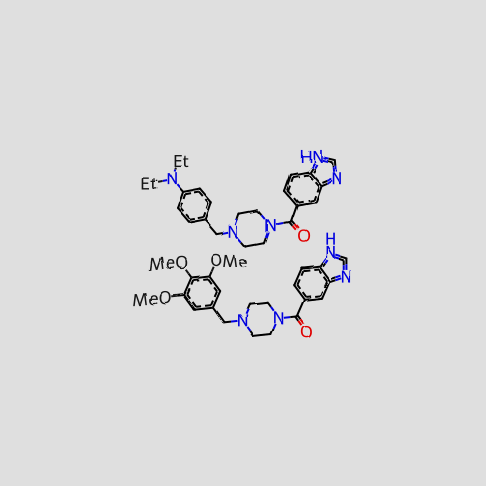 CCN(CC)c1ccc(CN2CCN(C(=O)c3ccc4[nH]cnc4c3)CC2)cc1.COc1cc(CN2CCN(C(=O)c3ccc4[nH]cnc4c3)CC2)cc(OC)c1OC